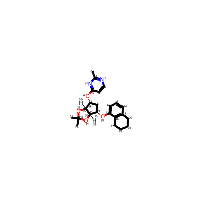 Cc1nccc(O[C@@H]2C[C@H](Oc3cccc4c3CCCC4)[C@H]3OC(C)(C)O[C@H]32)n1